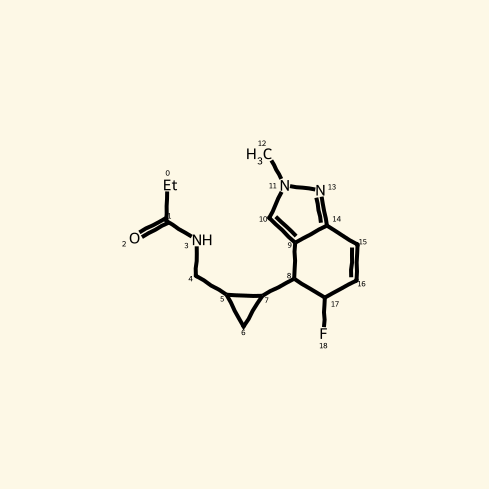 CCC(=O)NCC1CC1C1c2cn(C)nc2C=CC1F